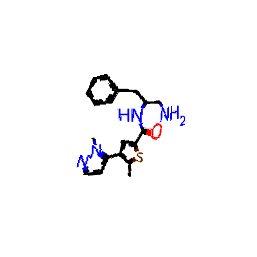 Cc1sc(C(=O)NC(CN)Cc2ccccc2)cc1-c1ccnn1C